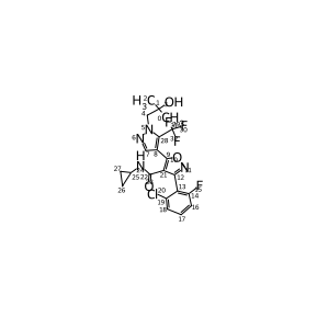 CC(C)(O)Cn1ncc(-c2onc(-c3c(F)cccc3Cl)c2C(=O)NC2CC2)c1C(F)(F)F